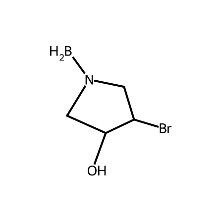 BN1CC(O)C(Br)C1